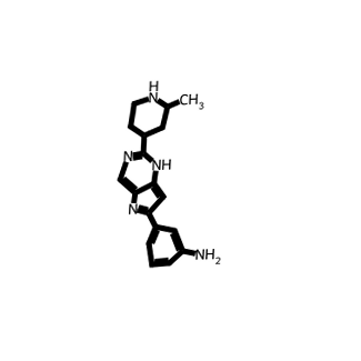 CC1CC(c2ncc3nc(-c4cccc(N)c4)cc-3[nH]2)CCN1